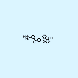 O=C(c1ccc(COc2cc[c]c(O)c2-c2ccccc2)cc1)c1cccc(-c2nn[nH]n2)c1